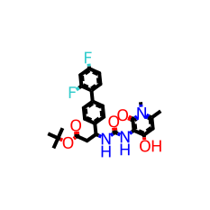 Cc1cc(O)c(NC(=O)NC(CC(=O)OC(C)(C)C)c2ccc(-c3ccc(F)cc3F)cc2)c(=O)n1C